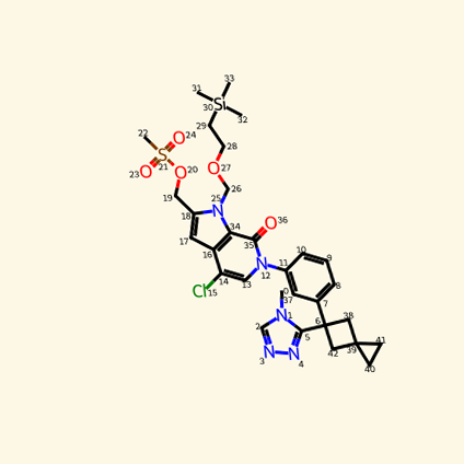 Cn1cnnc1C1(c2cccc(-n3cc(Cl)c4cc(COS(C)(=O)=O)n(COCC[Si](C)(C)C)c4c3=O)c2)CC2(CC2)C1